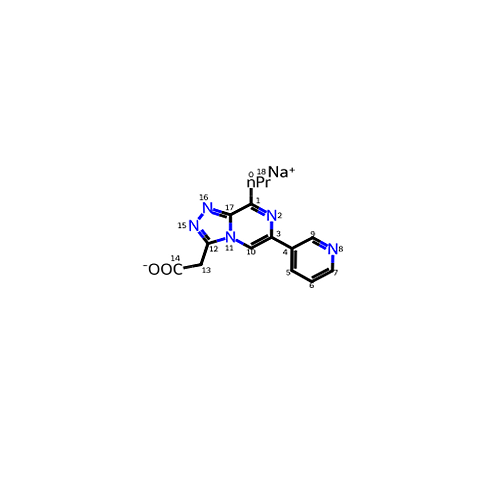 CCCc1nc(-c2cccnc2)cn2c(CC(=O)[O-])nnc12.[Na+]